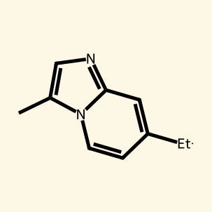 C[CH]c1ccn2c(C)cnc2c1